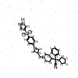 N#CC(c1ccccc1)(C1CCCC1)C1CCN(CC2CN(c3ccc(S(=O)(=O)c4cn[nH]c4)cc3)C2)CC1